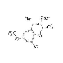 CCc1cc(OC(F)(F)F)cc2c1O[C@@H](C(F)(F)F)C(C(=O)[O-])=C2.[Na+]